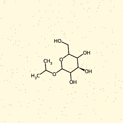 CC(C)OC1OC(CO)C(O)[C@@H](O)C1O